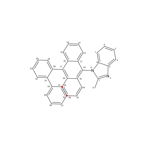 Cc1nc2ccccc2n1-c1c2ccccc2c(-c2ccccc2-c2ccccc2)c2ccccc12